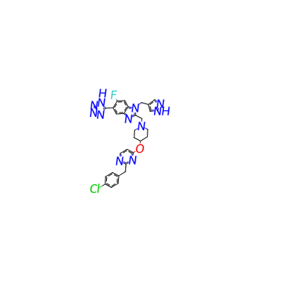 Fc1cc2c(cc1-c1nnn[nH]1)nc(CN1CCC(Oc3ccnc(Cc4ccc(Cl)cc4)n3)CC1)n2Cc1cn[nH]c1